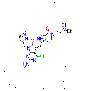 CCN(CC)CCNC(=O)c1c[nH]c(/C=C2\C(=O)N(Cc3ccn(C)n3)c3nc(N)nc(Cl)c32)c1C